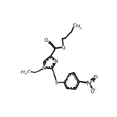 CCCOC(=O)c1cn(CC)c(Sc2ccc([N+](=O)[O-])cc2)n1